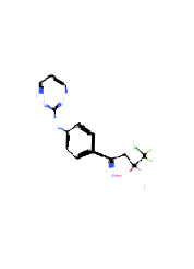 OC1(C(F)(F)Cl)CC(c2ccc(Nc3ncccn3)cc2)=NO1